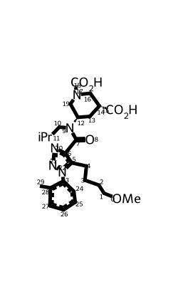 COCCCCc1c(C(=O)N(CC(C)C)[C@H]2C[C@@H](C(=O)O)CN(C(=O)O)C2)nnn1-c1ccccc1C